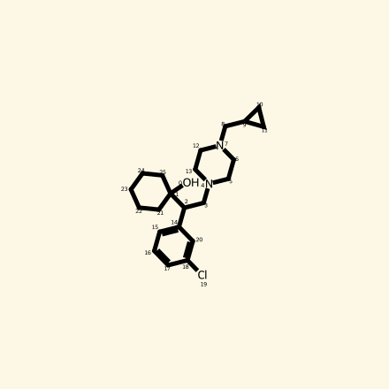 OC1(C(CN2CCN(CC3CC3)CC2)c2cccc(Cl)c2)CCCCC1